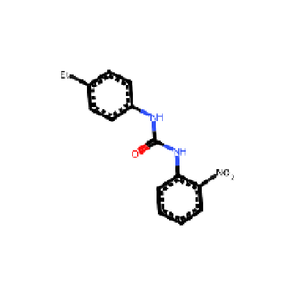 CCc1ccc(NC(=O)Nc2ccccc2[N+](=O)[O-])cc1